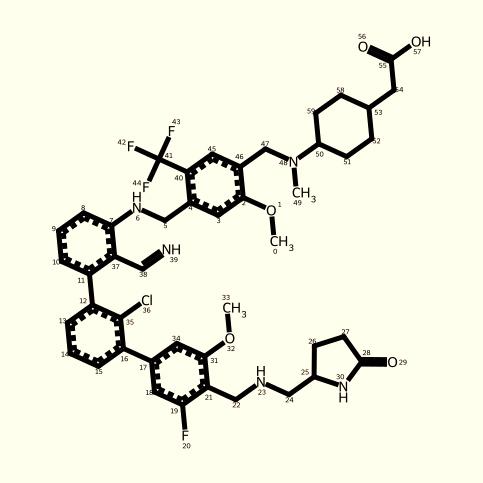 COc1cc(CNc2cccc(-c3cccc(-c4cc(F)c(CNCC5CCC(=O)N5)c(OC)c4)c3Cl)c2C=N)c(C(F)(F)F)cc1CN(C)C1CCC(CC(=O)O)CC1